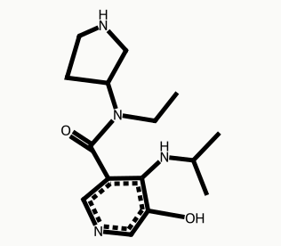 CCN(C(=O)c1cncc(O)c1NC(C)C)C1CCNC1